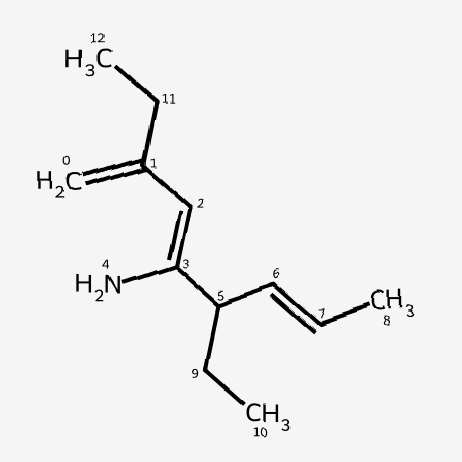 C=C(/C=C(\N)C(/C=C/C)CC)CC